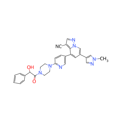 Cn1cc(-c2cc(-c3ccc(N4CCN(C(=O)C(O)c5ccccc5)CC4)nc3)c3c(C#N)cnn3c2)cn1